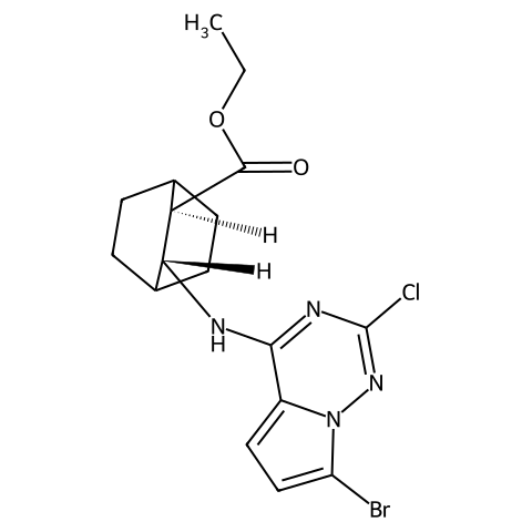 CCOC(=O)[C@@H]1C2CCC(CC2)[C@H]1Nc1nc(Cl)nn2c(Br)ccc12